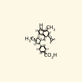 Cc1cc(C2CC2)c(C[C@@H]2CN(C)C[C@H]2c2ccc(C(=O)O)cc2)c2cc[nH]c12